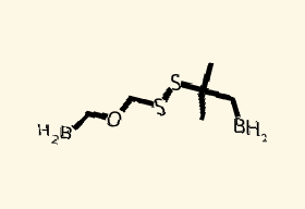 BCOCSSC(C)(C)CB